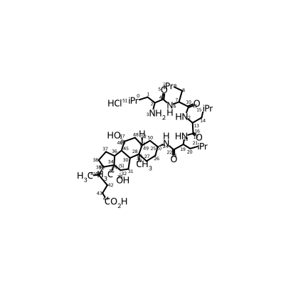 CC(C)CC(N)C(=O)NC(CC(C)C)C(=O)NC(CC(C)C)C(=O)NC(CC(C)C)C(=O)N[C@H]1CC[C@]2(C)C3C[C@H](O)[C@@]4(C)C(CC[C@@H]4C(C)CCC(=O)O)C3[C@H](O)C[C@@H]2C1.Cl